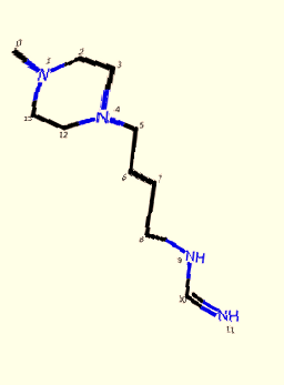 CN1CCN(CCCCNC=N)CC1